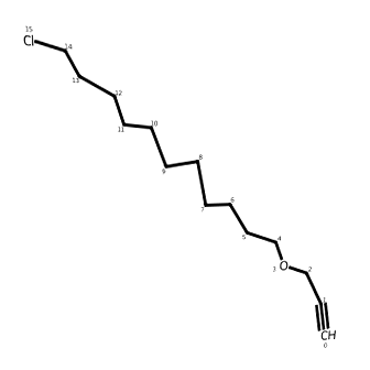 C#CCOCCCCCCCCCCCCl